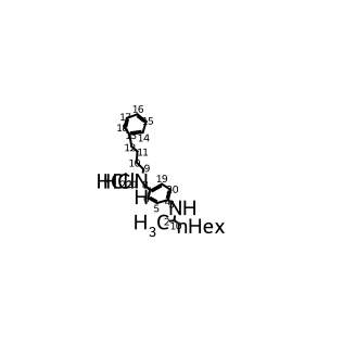 CCCCCCC(C)Nc1ccc(NCCCCc2ccccc2)cc1.Cl.Cl